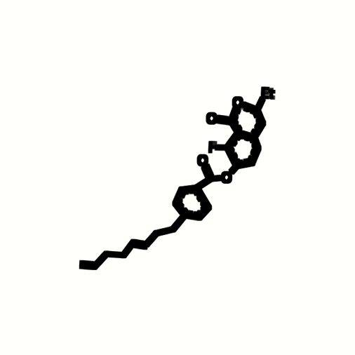 C=CCC/C=C/CCc1ccc(C(=O)Oc2ccc3cc(CC)oc(=O)c3c2F)cc1